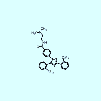 COc1ccccc1-c1nc(-c2ccccc2C)n(-c2ccc(C(=O)NCCN(C)C)cc2)n1